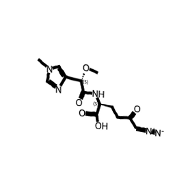 CO[C@H](C(=O)N[C@@H](CCC(=O)C=[N+]=[N-])C(=O)O)c1cn(C)cn1